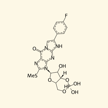 CSc1nc2c(=O)n3cc(-c4ccc(F)cc4)[nH]c3nc2n1[C@@H]1OC2CO[PH](O)(O)O[C@H]2C1O